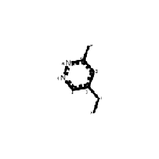 C[CH]c1cnnc(C)c1